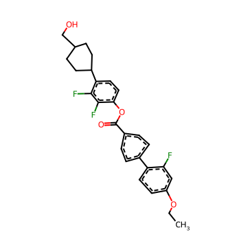 CCOc1ccc(-c2ccc(C(=O)Oc3ccc(C4CCC(CO)CC4)c(F)c3F)cc2)c(F)c1